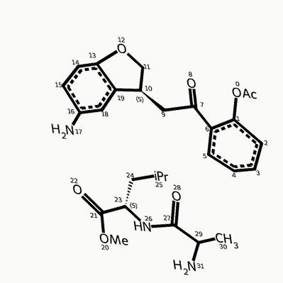 CC(=O)Oc1ccccc1C(=O)C[C@@H]1COc2ccc(N)cc21.COC(=O)[C@H](CC(C)C)NC(=O)C(C)N